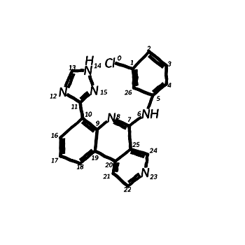 Clc1cccc(Nc2nc3c(-c4nc[nH]n4)cccc3c3ccncc23)c1